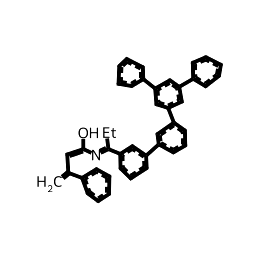 C=C(/C=C(O)\N=C(/CC)c1cccc(-c2cccc(-c3cc(-c4ccccc4)cc(-c4ccccc4)c3)c2)c1)c1ccccc1